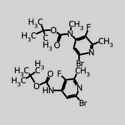 Cc1nc(Br)cc(N(C)C(=O)OC(C)(C)C)c1F.Cc1nc(Br)cc(NC(=O)OC(C)(C)C)c1F